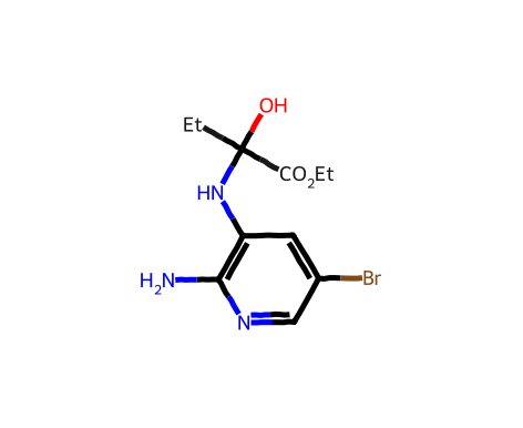 CCOC(=O)C(O)(CC)Nc1cc(Br)cnc1N